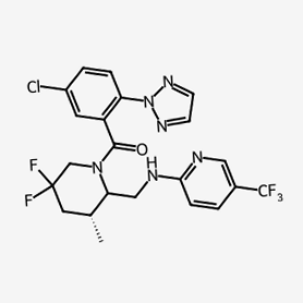 C[C@@H]1CC(F)(F)CN(C(=O)c2cc(Cl)ccc2-n2nccn2)C1CNc1ccc(C(F)(F)F)cn1